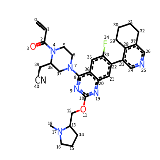 C=CC(=O)N1CCN(c2nc(OCC3CCCN3C)nc3cc(-c4cncc5c4CCCC5)c(F)cc23)CC1CC#N